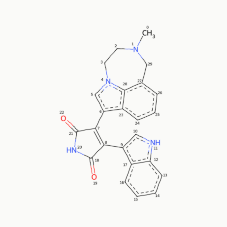 CN1CCn2cc(C3=C(c4c[nH]c5ccccc45)C(=O)NC3=O)c3cccc(c32)C1